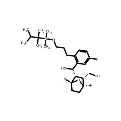 CC(C)C(C)(C)[Si](C)(C)OCCCc1ccc(F)cc1C(O)[C@@H]1[C@H](CO)[C@H]2CC[C@H]1O2